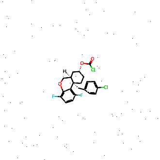 O=C(Cl)O[C@@H]1CC[C@@]2(Cc3ccc(Cl)cc3)c3c(F)ccc(F)c3OC[C@H]2C1